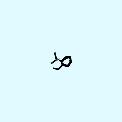 Cl[SiH](Cl)c1ccccc1CI